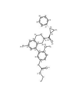 CCOC(=O)Cc1ccc(OC)c(-c2cc(F)cc3c2CN(C(=O)[C@@H]2C[C@H]2c2ccccc2)CC3)c1